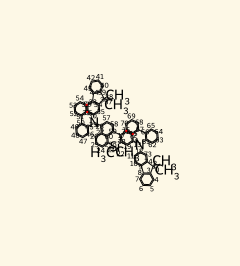 CC1(C)c2ccccc2-c2ccc(N(c3ccc4c(c3)[Si](C)(C)c3cccc5c(N(c6ccc7c(c6)C(C)(C)c6ccccc6-7)c6ccccc6-c6ccccc6)ccc-4c35)c3ccccc3-c3ccccc3)cc21